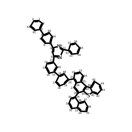 c1ccc(-c2ccc(-c3cc(-c4cccc(-c5cccc(-c6cccc7c6cc(-c6cccc8ccccc68)c6sc8ccccc8c67)c5)c4)nc(-c4ccccc4)n3)cc2)cc1